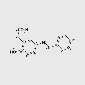 O=C(O)Cc1cc(/N=N/c2ccccc2)ccc1O